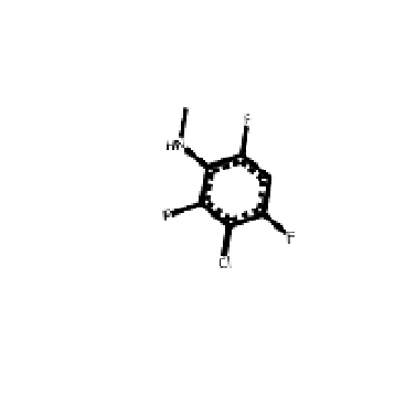 CNc1c(F)cc(F)c(Cl)c1F